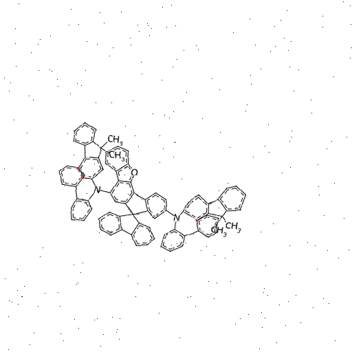 CC1(C)c2ccccc2-c2ccc(N(c3ccc4c(c3)C3(c5ccccc5-c5ccccc53)c3cc(N(c5ccc6c(c5)C(C)(C)c5ccccc5-6)c5ccccc5-c5ccccc5)c5c(oc6ccccc65)c3-4)c3ccccc3-c3ccccc3)cc21